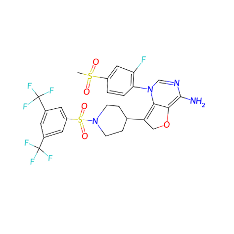 CS(=O)(=O)c1ccc(N2C=NC(N)=C3OCC(C4CCN(S(=O)(=O)c5cc(C(F)(F)F)cc(C(F)(F)F)c5)CC4)=C32)c(F)c1